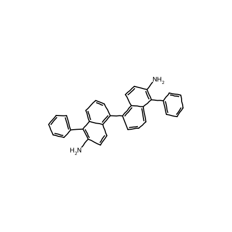 Nc1ccc2c(-c3cccc4c(-c5ccccc5)c(N)ccc34)cccc2c1-c1ccccc1